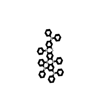 c1ccc(N(c2ccccc2)c2ccc3c(c2)Sc2cc4c(cc2N3c2ccccc2)B2c3ccccc3N(c3ccccc3)c3cc(N(c5ccccc5)c5ccccc5)cc(c32)N4c2ccccc2)cc1